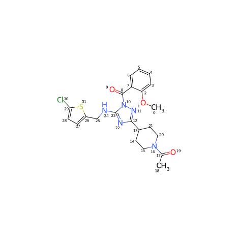 COc1ccccc1C(=O)n1nc(C2CCN(C(C)=O)CC2)nc1NCc1ccc(Cl)s1